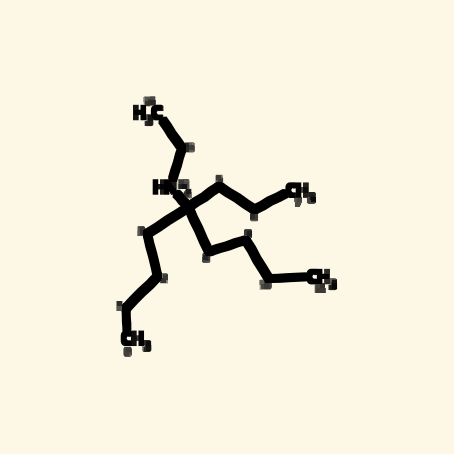 CCCCC(CCC)(CCCC)NCC